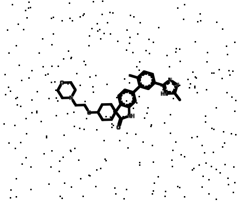 Cc1nnc(-c2ccc(C)c(-c3ccc4c(c3)NC(=O)C43CCC(OCCN4CCOCC4)CC3)c2)[nH]1